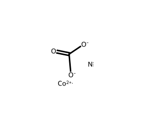 O=C([O-])[O-].[Co+2].[N]